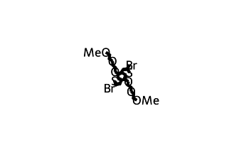 COCCOCCOc1c2cc(Br)sc2c(OCCOCCOC)c2cc(Br)sc12